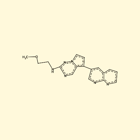 COCCNc1ncc2c(-c3cnc4ncccc4c3)ccn2n1